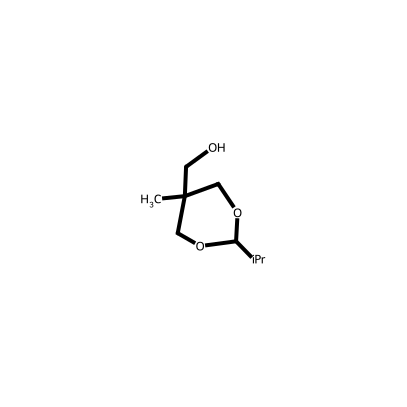 CC(C)C1OCC(C)(CO)CO1